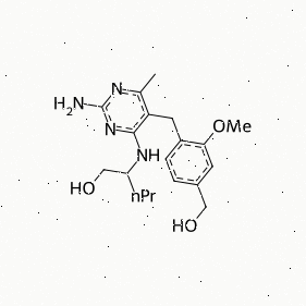 CCCC(CO)Nc1nc(N)nc(C)c1Cc1ccc(CO)cc1OC